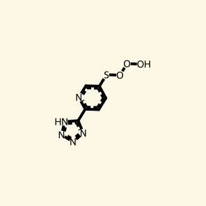 OOOSc1ccc(-c2nnn[nH]2)nc1